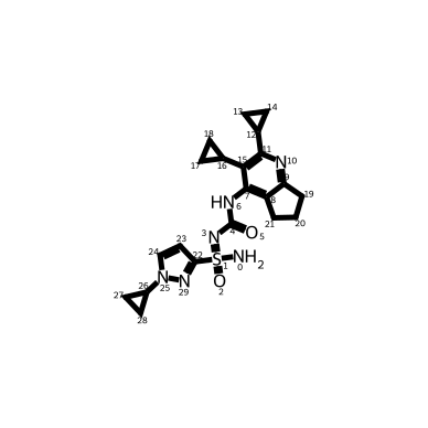 NS(=O)(=NC(=O)Nc1c2c(nc(C3CC3)c1C1CC1)CCC2)c1ccn(C2CC2)n1